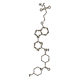 CS(=O)(=O)CCCOc1cccc2c1ccn2-c1ccnc(NC2CCC(C(=O)N3CCC(F)CC3)CC2)n1